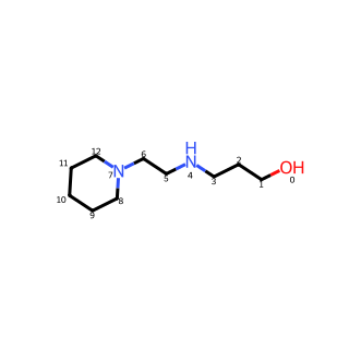 OCCCNCCN1CCCCC1